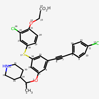 CC(Oc1cc(C#Cc2ccc(Cl)cc2)cc(Sc2ccc(OCC(=O)O)c(Cl)c2)c1)C1CCNCC1